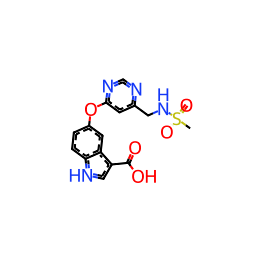 CS(=O)(=O)NCc1cc(Oc2ccc3[nH]cc(C(=O)O)c3c2)ncn1